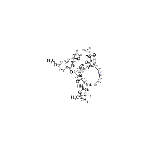 COc1ccc2c(OC3C[C@H]4C(=O)N[C@]5(C(=O)NS(=O)(=O)C6CC6)CC5/C=C\CCCCC[C@H](NC(=O)OC(C)(C)C)C(=O)N4C3)nc(-c3ncco3)cc2c1